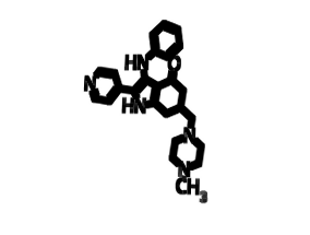 CN1CCN(CC2CC(=O)c3c([nH]c(-c4ccncc4)c3Nc3ccccc3)C2)CC1